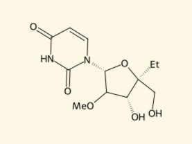 CC[C@@]1(CO)O[C@@H](n2ccc(=O)[nH]c2=O)C(OC)[C@H]1O